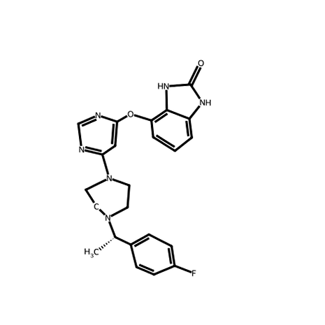 C[C@@H](c1ccc(F)cc1)N1CCN(c2cc(Oc3cccc4[nH]c(=O)[nH]c34)ncn2)CC1